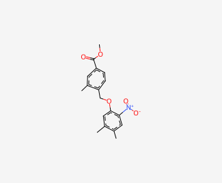 COC(=O)c1ccc(COc2cc(C)c(C)cc2[N+](=O)[O-])c(C)c1